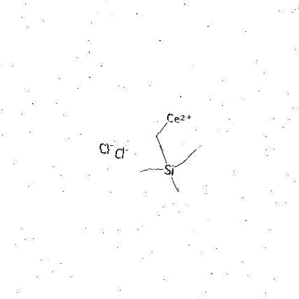 C[Si](C)(C)[CH2][Ce+2].[Cl-].[Cl-]